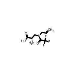 C=CCN(C[C@H](N)C(=O)O)C(=O)C(F)(F)F